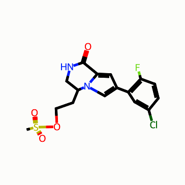 CS(=O)(=O)OCCC1CNC(=O)c2cc(-c3cc(Cl)ccc3F)cn21